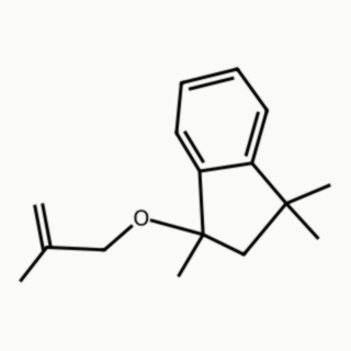 C=C(C)COC1(C)CC(C)(C)c2ccccc21